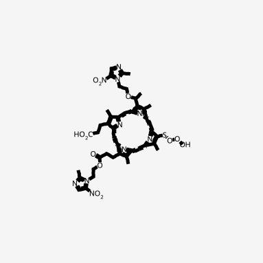 CC1=C(CCC(=O)O)c2cc3[nH]c(cc4nc(cc5[nH]c(cc1n2)c(C(C)OCCn1c([N+](=O)[O-])cnc1C)c5C)C(SOOO)=C4C)c(C)c3CCC(=O)OCCn1c([N+](=O)[O-])cnc1C